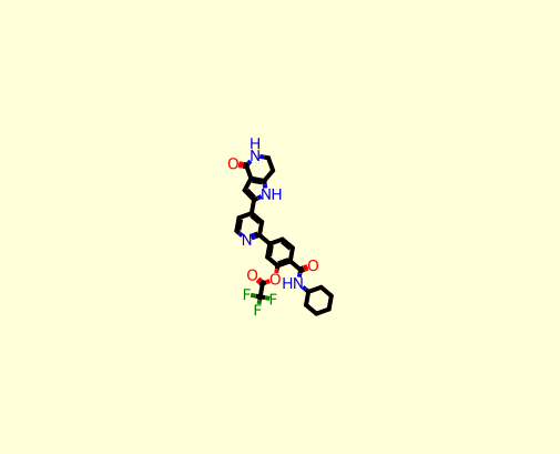 O=C(NC1CCCCC1)c1ccc(-c2cc(-c3cc4c([nH]3)CCNC4=O)ccn2)cc1OC(=O)C(F)(F)F